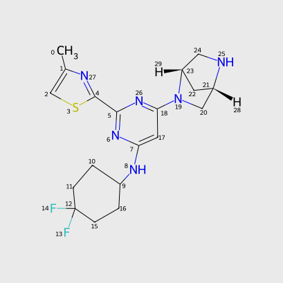 Cc1csc(-c2nc(NC3CCC(F)(F)CC3)cc(N3C[C@@H]4C[C@H]3CN4)n2)n1